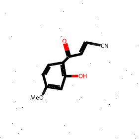 COc1ccc(C(=O)/C=C/C#N)c(O)c1